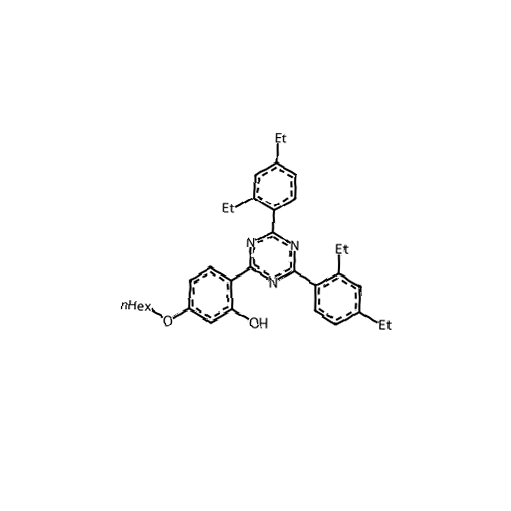 CCCCCCOc1ccc(-c2nc(-c3ccc(CC)cc3CC)nc(-c3ccc(CC)cc3CC)n2)c(O)c1